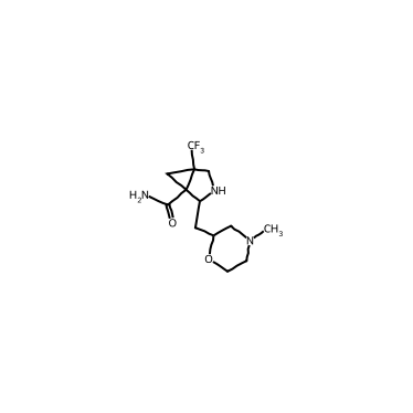 CN1CCOC(CC2NCC3(C(F)(F)F)CC23C(N)=O)C1